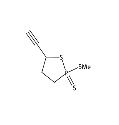 C#CC1CCP(=S)(SC)S1